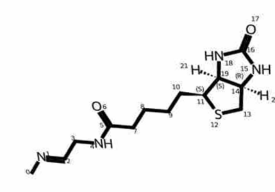 CN=CCNC(=O)CCCC[C@@H]1SC[C@@H]2NC(=O)N[C@@H]21